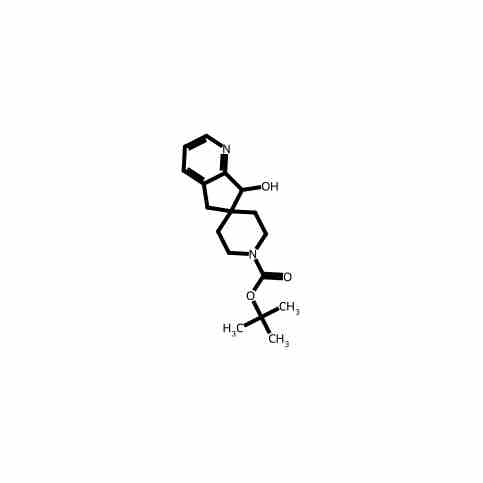 CC(C)(C)OC(=O)N1CCC2(CC1)Cc1cccnc1C2O